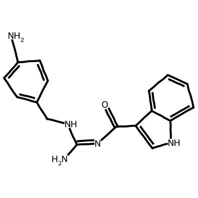 NC(=NC(=O)c1c[nH]c2ccccc12)NCc1ccc(N)cc1